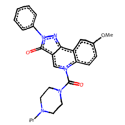 COc1ccc2c(c1)c1nn(-c3ccccc3)c(=O)c-1cn2C(=O)N1CCN(C(C)C)CC1